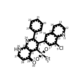 CCS(=O)(=O)c1c(-c2cc(Cl)c3ncccc3c2)c(-c2ccccc2)nc2[nH]ccc(=O)c12